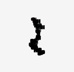 Cc1cc(N(C)c2nc(C(=O)O)c(CCCOc3ccc(C#CCN(C)C(=O)OCc4ccc(NC(=O)C(C)NC(=O)C(NC(=O)CCOCCNC(=O)CCN5C(=O)C=CC5=O)C(C)C)cc4)cc3F)s2)nnc1Nc1nc2ccccc2s1